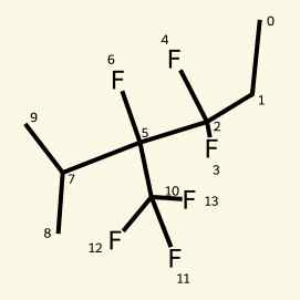 CCC(F)(F)C(F)(C(C)C)C(F)(F)F